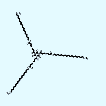 CCCCCCCCCCCCCCCCCCOC(=O)CCSCCC(=O)n1c(=O)n(C(=O)CCSCCC(=O)OCCCCCCCCCCCCCCCCCC)c(=O)n(C(=O)CCSCCC(=O)OCCCCCCCCCCCCCCCCCC)c1=O